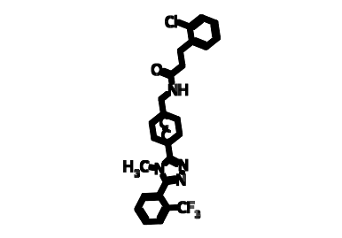 Cn1c(-c2ccccc2C(F)(F)F)nnc1C12CCC(CNC(=O)CCc3ccccc3Cl)(CC1)CC2